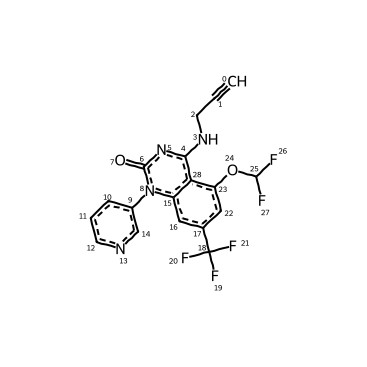 C#CCNc1nc(=O)n(-c2cccnc2)c2cc(C(F)(F)F)cc(OC(F)F)c12